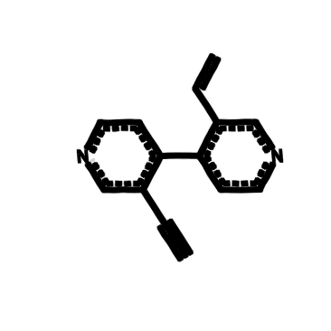 C#Cc1cnccc1-c1ccncc1C=C